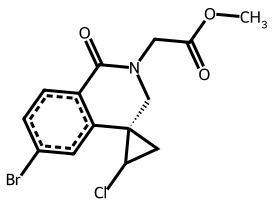 COC(=O)CN1C[C@@]2(CC2Cl)c2cc(Br)ccc2C1=O